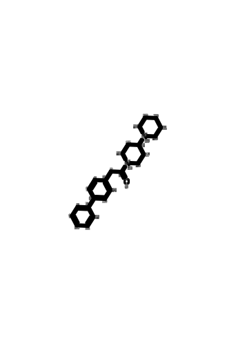 O=C(Cc1ccc(-c2ccccc2)cc1)N1CCC(N2CCCCC2)CC1